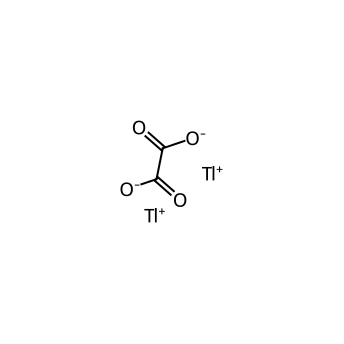 O=C([O-])C(=O)[O-].[Tl+].[Tl+]